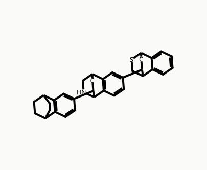 c1ccc2c(c1)C1CC(c3ccc4c(c3)C3CNC4C(c4ccc5c(c4)C4CCC5CC4)C3)C2CS1